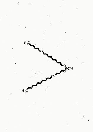 CCCCCCCCCCCCCCCCOB(O)OCCCCCCCCCCCCCCCC